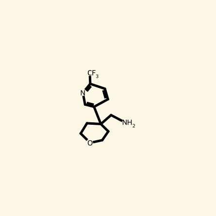 NCC1(c2ccc(C(F)(F)F)nc2)CCOCC1